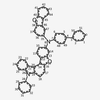 c1ccc(-c2ccc(N(c3ccc4c(c3)oc3ccc5c(c6ccccc6n5-c5ccccc5)c34)c3ccc4oc5ccccc5c4c3)cc2)cc1